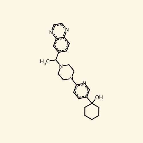 CC(c1ccc2nccnc2c1)N1CCN(c2ccc(C3(O)CCCCC3)cn2)CC1